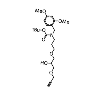 C#CCOCC(O)COCCCN(Cc1ccc(OC)cc1OC)C(=O)OC(C)(C)C